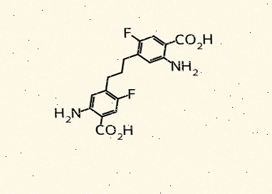 Nc1cc(CCCc2cc(N)c(C(=O)O)cc2F)c(F)cc1C(=O)O